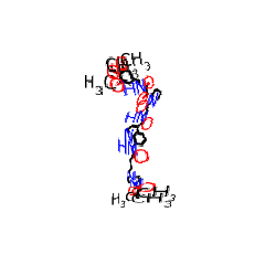 COc1cc(CNC(=O)C(=O)[C@@H]2CCCN2C(=O)CNC(=O)c2ccnc3c(NC(=O)CCCN4CCN(C(=O)OC(C)(C)C)CC4)cccc23)cc(OC)c1OC